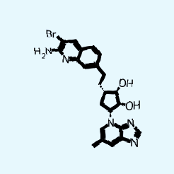 Cc1cc2ncnc-2n([C@@H]2C[C@H](CCc3ccc4cc(Br)c(N)nc4c3)[C@@H](O)[C@H]2O)c1